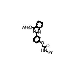 COc1nc(-c2cccc(OCC(=O)NC(C)C)c2)nc2ccccc12